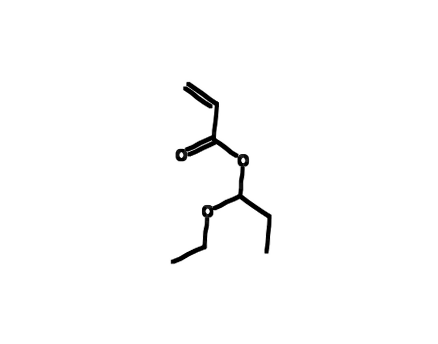 C=CC(=O)OC(CC)OCC